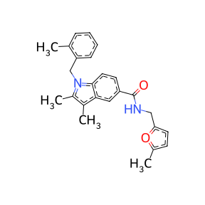 Cc1ccc(CNC(=O)c2ccc3c(c2)c(C)c(C)n3Cc2ccccc2C)o1